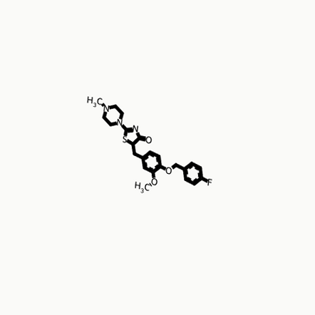 COc1cc(CC2SC(N3CCN(C)CC3)=NC2=O)ccc1OCc1ccc(F)cc1